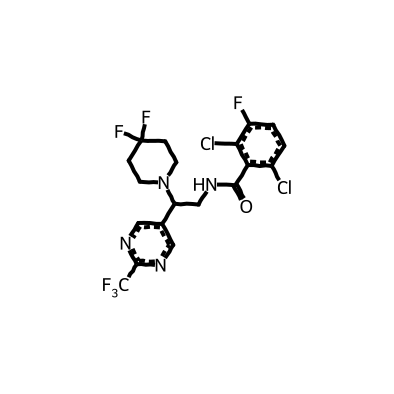 O=C(NCC(c1cnc(C(F)(F)F)nc1)N1CCC(F)(F)CC1)c1c(Cl)ccc(F)c1Cl